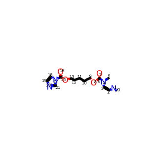 C=N/C=C\N(C)C(=O)OCCCCCOC(=O)n1ccnc1